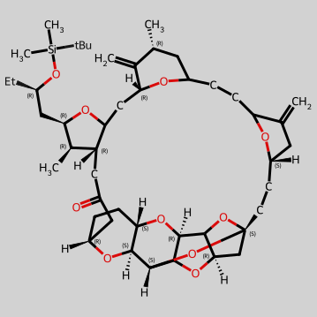 C=C1C[C@@H]2CC[C@@]34C[C@H]5OC6[C@@H](O[C@H]7CC[C@H](CC(=O)C[C@H]8C(C[C@H]9OC(CCC1O2)C[C@@H](C)C9=C)O[C@H](C[C@@H](CC)O[Si](C)(C)C(C)(C)C)[C@@H]8C)O[C@@H]7[C@@H]6O3)C5O4